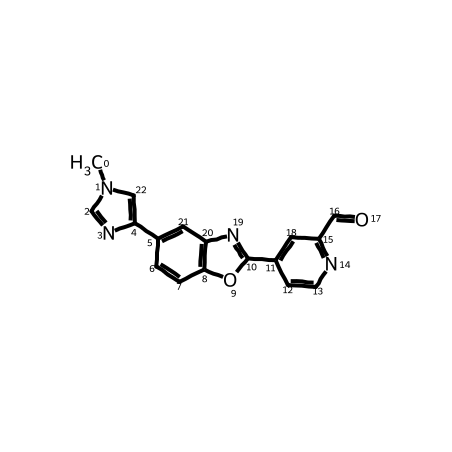 Cn1cnc(-c2ccc3oc(-c4ccnc(C=O)c4)nc3c2)c1